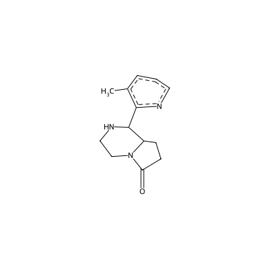 Cc1cccnc1C1NCCN2C(=O)CCC12